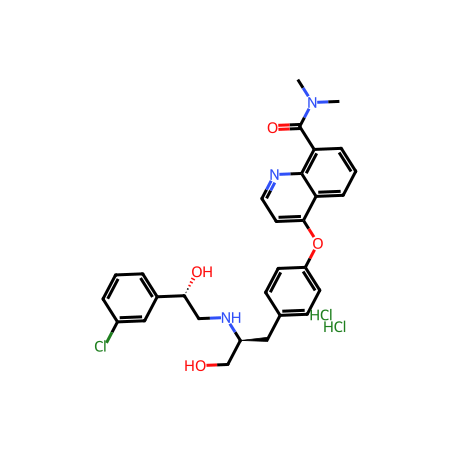 CN(C)C(=O)c1cccc2c(Oc3ccc(C[C@@H](CO)NC[C@@H](O)c4cccc(Cl)c4)cc3)ccnc12.Cl.Cl